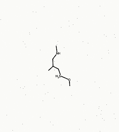 CNCC(C)C[SiH2]OC